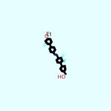 CCOc1ccc(-c2ccc(/C=C/c3ccc(-c4ccc(CO)cc4)c(F)c3F)cc2)c(F)c1